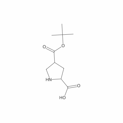 CC(C)(C)OC(=O)C1CNC(C(=O)O)C1